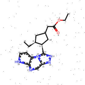 CCOC(=O)CC1C[C@H](CC)[C@H](c2nnc3cnc4[nH]ccc4n23)C1